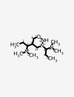 CCC(C1CONN(C(CC)N(C)C)C1)N(C)C